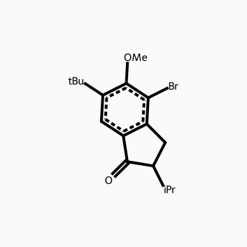 COc1c(C(C)(C)C)cc2c(c1Br)CC(C(C)C)C2=O